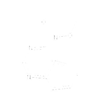 CON(OC)c1ncnc2ccccc12